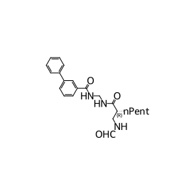 CCCCC[C@H](CNC=O)C(=O)NCNC(=O)c1cccc(-c2ccccc2)c1